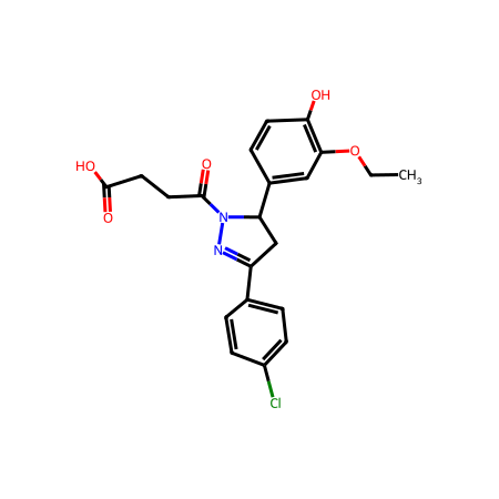 CCOc1cc(C2CC(c3ccc(Cl)cc3)=NN2C(=O)CCC(=O)O)ccc1O